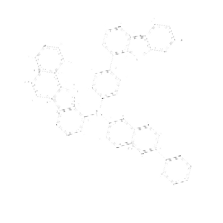 c1ccc(-c2ccc3cc(N(c4ccc(-c5cccc6c5oc5ccccc56)cc4)c4cccc5c4oc4c6ccccc6ccc54)ccc3c2)cc1